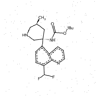 C[C@@H]1CNC[C@](NC(=O)OC(C)(C)C)(c2ccc(C(F)F)c3ncccc23)C1